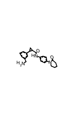 NCc1cccc(C2CC2C(=O)Nc2ccc(N3CCCCC3=O)cc2)c1